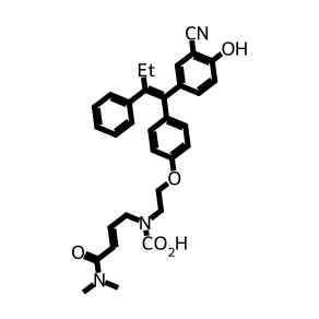 CC/C(=C(/c1ccc(OCCN(C/C=C/C(=O)N(C)C)C(=O)O)cc1)c1ccc(O)c(C#N)c1)c1ccccc1